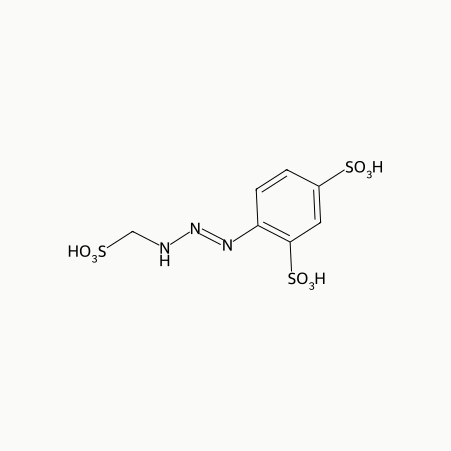 O=S(=O)(O)CNN=Nc1ccc(S(=O)(=O)O)cc1S(=O)(=O)O